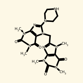 Cn1c(=O)c2c(nc(Cn3c(N4CCNCC4)nc4c3c(=O)n(C)c(=O)n4C)n2C)n(C)c1=O